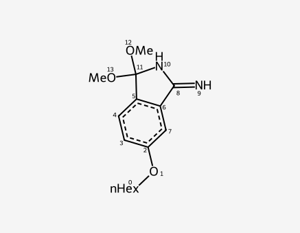 CCCCCCOc1ccc2c(c1)C(=N)NC2(OC)OC